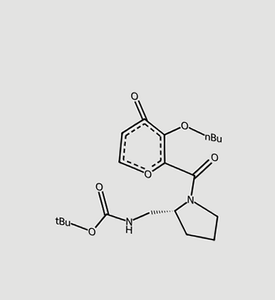 CCCCOc1c(C(=O)N2CCC[C@@H]2CNC(=O)OC(C)(C)C)occc1=O